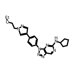 CCOCCn1cc(-c2ccc(-n3nnc4cnc(NC5CCCC5)nc43)cc2)cn1